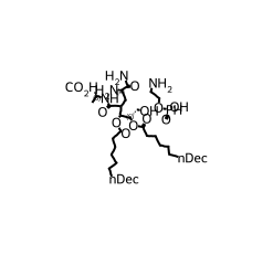 CCCCCCCCCCCCCCCC(=O)OC(C(C[C@@H](N)C(N)=O)C(=O)N[C@@H](C)C(=O)O)[C@H](CO)OC(=O)CCCCCCCCCCCCCCC.NCCO[PH](=O)O